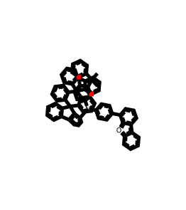 CC1(C)c2ccccc2-c2ccc(N(c3ccc(-c4cccc5c4oc4ccccc45)cc3)c3cccc4c3C3(c5ccccc5-4)c4ccccc4C4(c5ccccc5-c5ccccc54)c4ccccc43)cc21